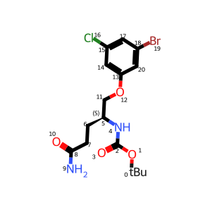 CC(C)(C)OC(=O)N[C@@H](CCC(N)=O)COc1cc(Cl)cc(Br)c1